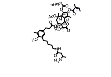 C/C=C(/C)C(=O)O[C@H]1C(C)=C2[C@@H]3OC(=O)[C@@](C)(O)[C@@]3(O)[C@@H](OC(=O)CCc3cc(C)c(O)c(CCCCCNC(=O)CC(C)N)c3)C[C@](C)(OC(C)=O)[C@@H]2[C@@H]1OC(=O)CCCCCCC